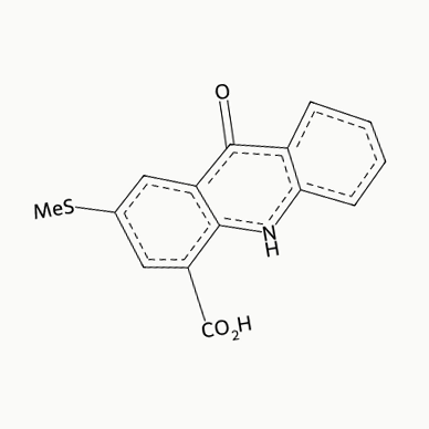 CSc1cc(C(=O)O)c2[nH]c3ccccc3c(=O)c2c1